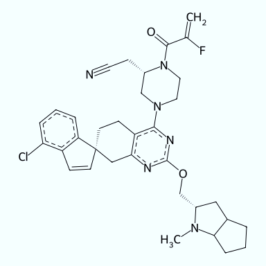 C=C(F)C(=O)N1CCN(c2nc(OC[C@@H]3CC4CCCC4N3C)nc3c2CC[C@@]2(C=Cc4c(Cl)cccc42)C3)C[C@@H]1CC#N